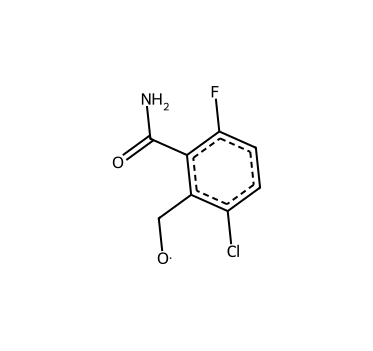 NC(=O)c1c(F)ccc(Cl)c1C[O]